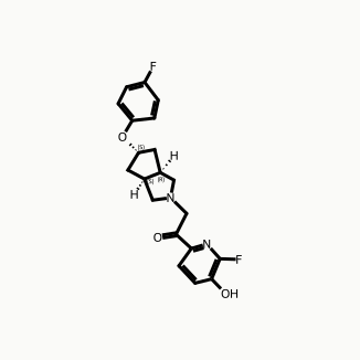 O=C(CN1C[C@H]2C[C@H](Oc3ccc(F)cc3)C[C@H]2C1)c1ccc(O)c(F)n1